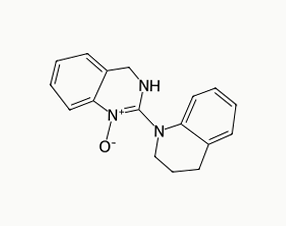 [O-][N+]1=C(N2CCCc3ccccc32)NCc2ccccc21